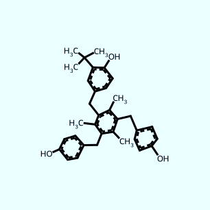 Cc1c(Cc2ccc(O)cc2)c(C)c(Cc2ccc(O)c(C(C)(C)C)c2)c(C)c1Cc1ccc(O)cc1